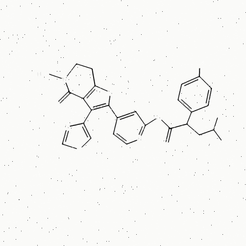 CN1CCc2[nH]c(-c3ccnc(NC(=O)C(CC(F)F)c4ccc(F)cc4)c3)c(-c3cscn3)c2C1=O